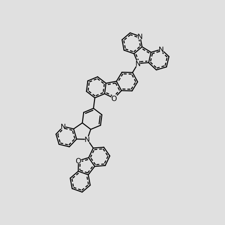 C1=CC2C(C=C1c1cccc3c1oc1ccc(-n4c5cccnc5c5ncccc54)cc13)c1ncccc1N2c1cccc2c1oc1ccccc12